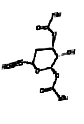 C#CC1C[C@@H](OC(=O)CCCC)[C@H](O)[C@@H](OC(=O)CCCC)O1